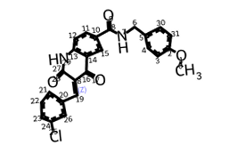 COc1ccc(CNC(=O)c2ccc3c(c2)C(=O)/C(=C/c2cccc(Cl)c2)C(=O)N3)cc1